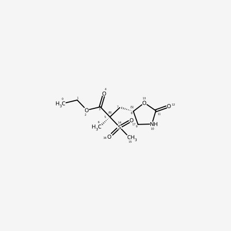 CCOC(=O)[C@@](C)(C[C@H]1CNC(=O)O1)S(C)(=O)=O